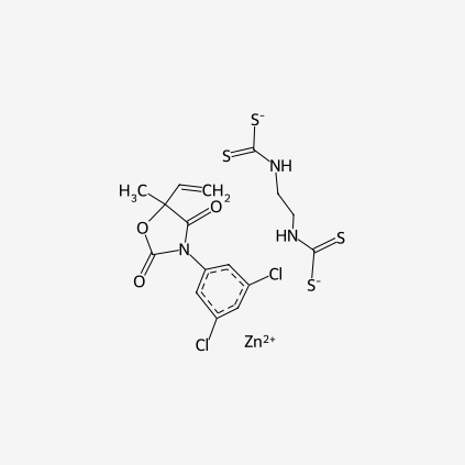 C=CC1(C)OC(=O)N(c2cc(Cl)cc(Cl)c2)C1=O.S=C([S-])NCCNC(=S)[S-].[Zn+2]